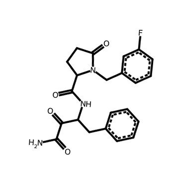 NC(=O)C(=O)C(Cc1ccccc1)NC(=O)C1CCC(=O)N1Cc1cccc(F)c1